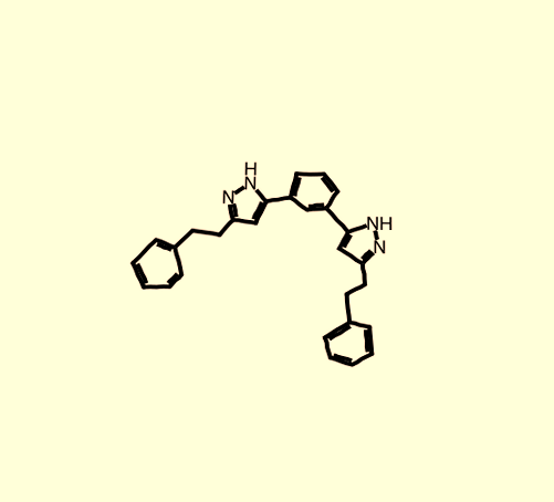 c1ccc(CCc2cc(-c3cccc(-c4cc(CCc5ccccc5)n[nH]4)c3)[nH]n2)cc1